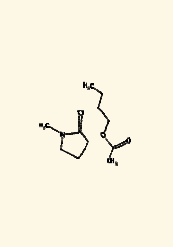 CCCCOC(C)=O.CN1CCCC1=O